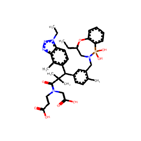 CCC1CN(Cc2cc(C(c3ccc4c(nnn4CC)c3C)C(C)(C)C(=O)N(CCC(=O)O)CC(=O)O)ccc2C)S(O)(O)c2ccccc2O1